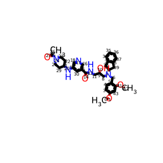 COc1ccc(CN(CC(O)CNC(=O)c2cncc(NC3CCN(C(C)=O)CC3)c2)C2Cc3ccccc3C2)c(OC)c1